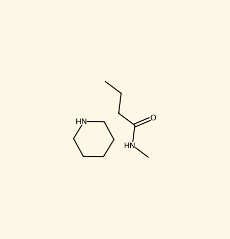 C1CCNCC1.CCCC(=O)NC